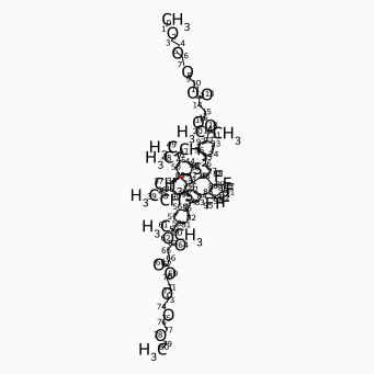 CCOCCOCCOCCOC(=O)CCC(=O)OC(C)(C)c1ccc(-c2cc3c(s2)C(c2ccc(C(C)(C)C)cc2)(c2ccc(C(C)(C)C)cc2)c2sc(-c4ccc(C(C)(C)OC(=O)CCC(=O)OCCOCCOCCOCC)cc4)cc2C2=C3C(F)(F)C(F)(F)C2(F)F)cc1